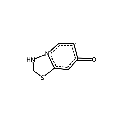 O=c1[c]cn2c(c1)SCN2